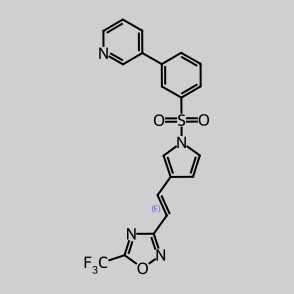 O=S(=O)(c1cccc(-c2cccnc2)c1)n1ccc(/C=C/c2noc(C(F)(F)F)n2)c1